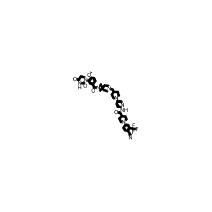 COc1ccc(C(=O)N2CC3(CCN(CC4CCN(c5ccc(NC(=O)C6CCN(c7ccc(C#N)c(C(F)(F)F)c7)CC6)nc5)CC4)CC3)C2)cc1N1CCC(=O)NC1=O